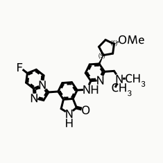 CO[C@H]1CC[C@H](c2ccc(Nc3ccc(-c4cnc5cc(F)ccn45)c4c3C(=O)NC4)nc2CN(C)C)C1